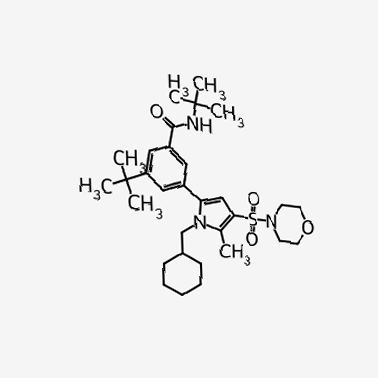 Cc1c(S(=O)(=O)N2CCOCC2)cc(-c2cc(C(=O)NC(C)(C)C)cc(C(C)(C)C)c2)n1CC1CCCCC1